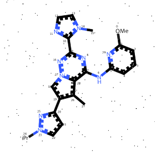 COc1cccc(Nc2nc(-c3nccn3C)nn3cc(-c4ccn(C(C)C)n4)c(C)c23)n1